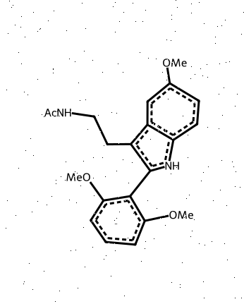 COc1ccc2[nH]c(-c3c(OC)cccc3OC)c(CCNC(C)=O)c2c1